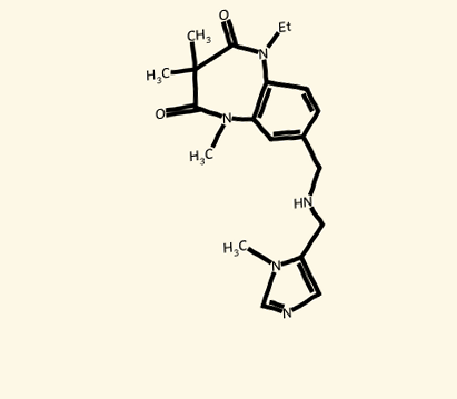 CCN1C(=O)C(C)(C)C(=O)N(C)c2cc(CNCc3cncn3C)ccc21